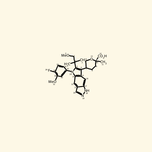 COCC(C)(C)c1c(C2CC[C@](C)(C(=O)O)OC2)c2cc3[nH]ncc3cc2n1-c1ccc(F)c(OC)c1